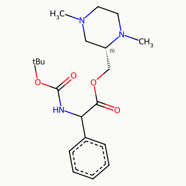 CN1CCN(C)[C@H](COC(=O)C(NC(=O)OC(C)(C)C)c2ccccc2)C1